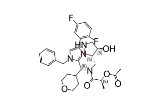 CC(=O)O[C@@H](C)C(=O)N(C[C@@H]1CNC[C@H]1O)[C@@H](c1nc(-c2cc(F)ccc2F)cn1Cc1ccccc1)C1CCOCC1